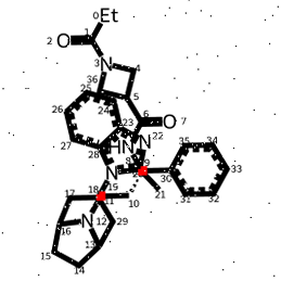 CCC(=O)N1CC(C(=O)N[C@@H](CCN2C3CCC2CC(n2c(C)nc4ccccc42)C3)c2ccccc2)C1